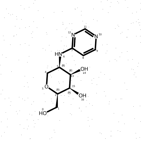 OC[C@H]1OC[C@@H](Nc2ccncn2)[C@@H](O)[C@H]1O